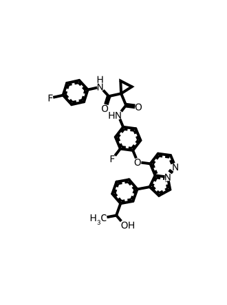 CC(O)c1cccc(-c2ccn3nccc(Oc4ccc(NC(=O)C5(C(=O)Nc6ccc(F)cc6)CC5)cc4F)c23)c1